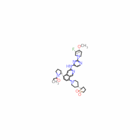 C=CC(=O)N1CCC[C@@H]1c1ccc(N2CCC([C@@H]3CCCS3(=O)=O)CC2)c2cnc(Nc3ccnc(N4CC[C@@H](OC)[C@@H](F)C4)n3)cc12